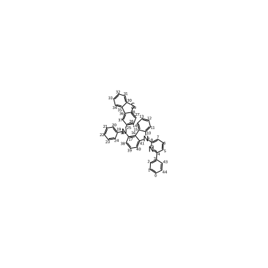 c1ccc(-c2cccc(-n3c4ccccc4c4c(N(c5ccccc5)c5ccc6sc7ccccc7c6c5)cccc43)n2)cc1